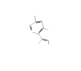 F/C(=C\I)c1ncc(C(F)(F)F)cc1Cl